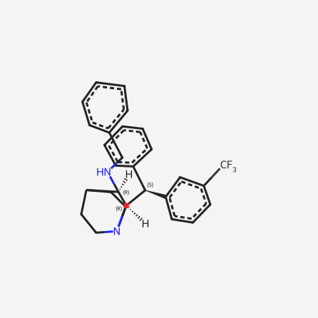 FC(F)(F)c1cccc([C@H](c2ccccc2)[C@@H]2[C@H](NCc3ccccc3)C3CCN2CC3)c1